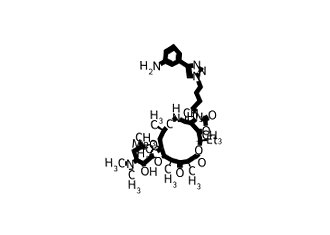 CC[C@H]1OC(=O)[C@H](C)C(=O)[C@H](C)[C@@H](O[C@@H]2OC(C)CC(N(C)C)C2O)[C@](C)(OC)C[C@@H](C)CN[C@H](C)[C@H]2N(CCCCn3cc(-c4cccc(N)c4)nn3)C(=O)O[C@]12C